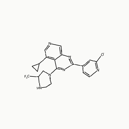 FC(F)(F)C1CN(c2nc(-c3ccnc(Cl)c3)nc3cncc(C4CC4)c23)CCN1